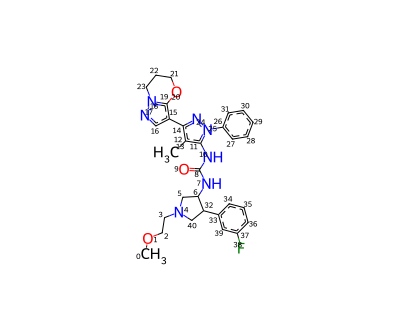 COCCN1CC(NC(=O)Nc2c(C)c(-c3cnn4c3OCCC4)nn2-c2ccccc2)C(c2cccc(F)c2)C1